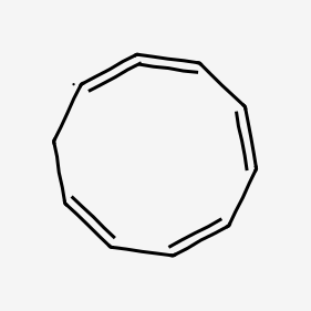 [C]1=C=C\C=C/C=C\C=C/C1